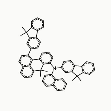 CC1(C)c2ccccc2-c2ccc(-c3ccc4cccc5c4c3-c3cccc(N(c4ccc6c(c4)C(C)(C)c4ccccc4-6)c4cccc6ccccc46)c3C5(C)C)cc21